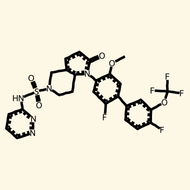 COc1cc(-c2ccc(F)c(OC(F)(F)F)c2)c(F)cc1-n1c2c(ccc1=O)CN(S(=O)(=O)Nc1cccnn1)CC2